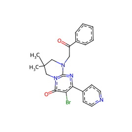 CC1(C)CN(CC(=O)c2ccccc2)c2nc(-c3ccncc3)c(Br)c(=O)n2C1